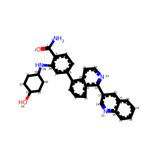 NC(=O)c1ccc(-c2cccc3c(-c4cnc5ccccc5c4)nccc23)cc1NC1CCC(O)CC1